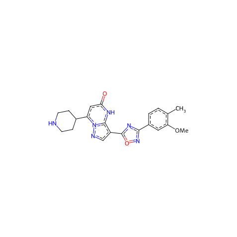 COc1cc(-c2noc(-c3cnn4c(C5CCNCC5)cc(=O)[nH]c34)n2)ccc1C